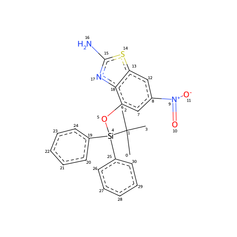 CC(C)(C)[Si](Oc1cc([N+](=O)[O-])cc2sc(N)nc12)(c1ccccc1)c1ccccc1